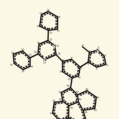 Cc1ncccc1-c1cc(-c2nc(-c3ccccc3)cc(-c3ccccc3)n2)cc(-c2cc3cccc4ccc5cccc2c5c43)c1